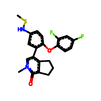 CSNc1ccc(Oc2ccc(F)cc2F)c(-c2cn(C)c(=O)c3c2CCC3)c1